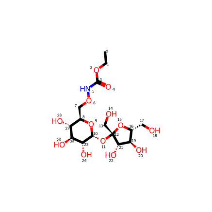 CCOC(=O)NOC[C@H]1O[C@H](O[C@]2(CO)O[C@H](CO)[C@@H](O)[C@@H]2O)[C@H](O)[C@@H](O)[C@@H]1O